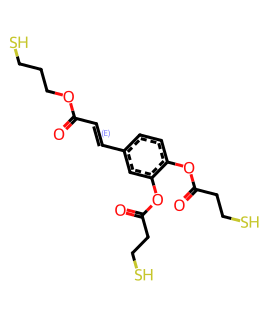 O=C(/C=C/c1ccc(OC(=O)CCS)c(OC(=O)CCS)c1)OCCCS